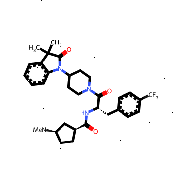 CN[C@@H]1CC[C@H](C(=O)N[C@@H](Cc2ccc(C(F)(F)F)cc2)C(=O)N2CCC(N3C(=O)C(C)(C)c4ccccc43)CC2)C1